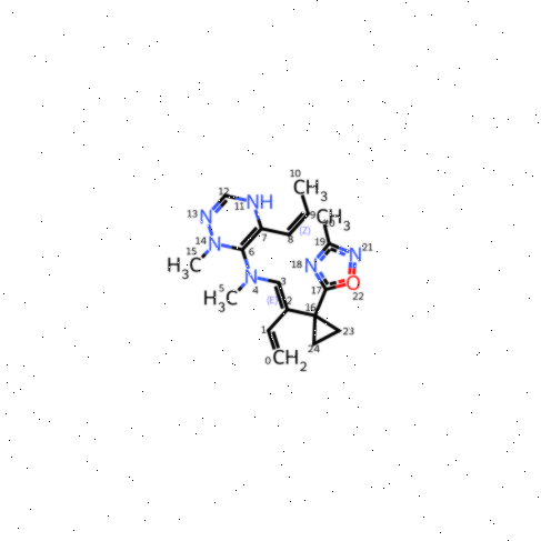 C=C/C(=C\N(C)C1=C(/C=C\C)NC=NN1C)C1(c2nc(C)no2)CC1